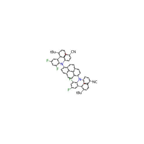 [C-]#[N+]c1ccc(N(c2c(F)cc(F)cc2-c2ccccc2C(C)(C)C)c2ccc3ccc4c(N(c5ccc(C#N)cc5)c5c(F)cc(F)cc5-c5ccccc5C(C)(C)C)ccc5ccc2c3c54)cc1